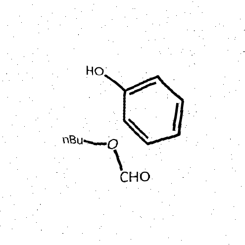 CCCCOC=O.Oc1ccccc1